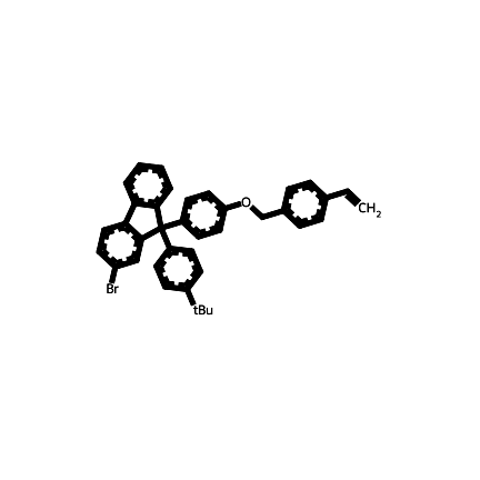 C=Cc1ccc(COc2ccc(C3(c4ccc(C(C)(C)C)cc4)c4ccccc4-c4ccc(Br)cc43)cc2)cc1